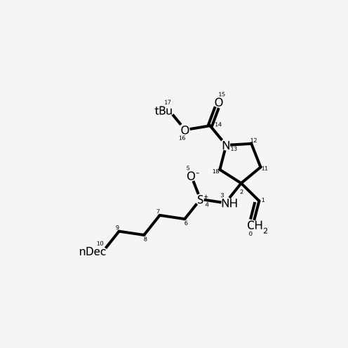 C=CC1(N[S+]([O-])CCCCCCCCCCCCCC)CCN(C(=O)OC(C)(C)C)C1